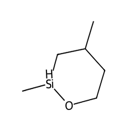 CC1CCO[SiH](C)C1